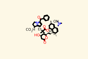 CCC(C)(C)C(=O)O[C@H]1C[C@@H](C)C=C2C=C[C@H](C)[C@H](CC[C@@H]3C[C@@H](O)CC(=O)O3)[C@H]21.CN(C)N=O.O=C(c1ccccc1)c1ccc2n1CCC2C(=O)O